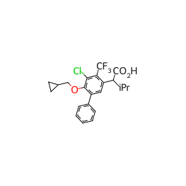 CC(C)C(C(=O)O)c1cc(-c2ccccc2)c(OCC2CC2)c(Cl)c1C(F)(F)F